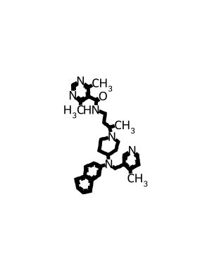 Cc1ccncc1CN(c1ccc2ccccc2c1)C1CCN(C(C)CCNC(=O)c2c(C)ncnc2C)CC1